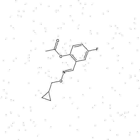 CC(=O)Oc1ccc(F)cc1C=NOCC1CC1